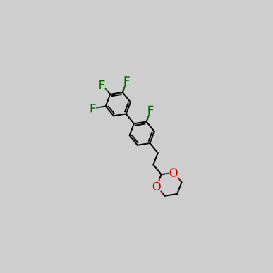 Fc1cc(CCC2OCCCO2)ccc1-c1cc(F)c(F)c(F)c1